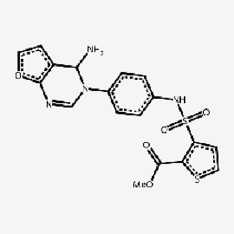 COC(=O)c1sccc1S(=O)(=O)Nc1ccc(N2C=Nc3occc3C2N)cc1